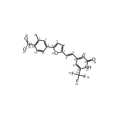 Cc1cc(-c2ccc(/C=C/c3cc(C(F)(F)F)[nH]c(=O)n3)o2)ccc1[N+](=O)[O-]